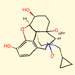 CCCOC12CC[C@H](O)[C@@H]3Oc4c(O)ccc5c4[C@@]31CC[N+]([O-])(CC1CC1)[C@@H]2C5